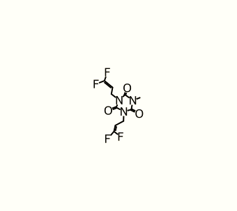 Cn1c(=O)n(CC=C(F)F)c(=O)n(CC=C(F)F)c1=O